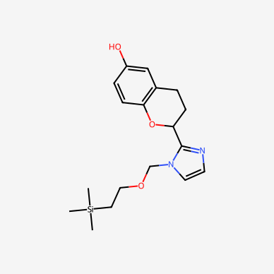 C[Si](C)(C)CCOCn1ccnc1C1CCc2cc(O)ccc2O1